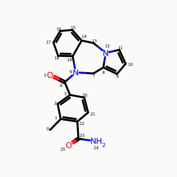 Cc1cc(C(=O)N2Cc3cccn3Cc3ccccc32)ccc1C(N)=O